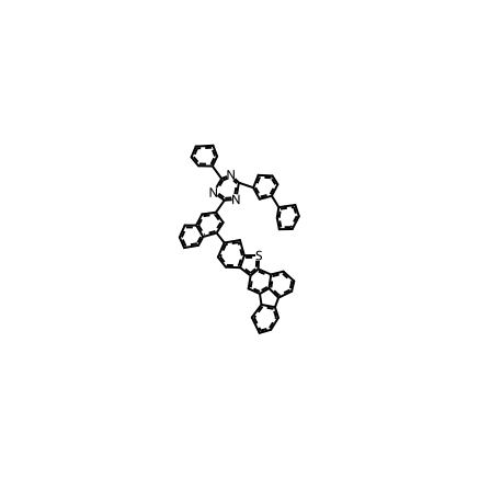 c1ccc(-c2cccc(-c3nc(-c4ccccc4)nc(-c4cc(-c5ccc6c(c5)sc5c7cccc8c7c(cc65)-c5ccccc5-8)c5ccccc5c4)n3)c2)cc1